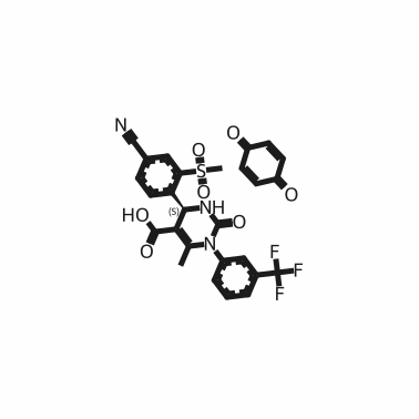 CC1=C(C(=O)O)[C@@H](c2ccc(C#N)cc2S(C)(=O)=O)NC(=O)N1c1cccc(C(F)(F)F)c1.O=C1C=CC(=O)C=C1